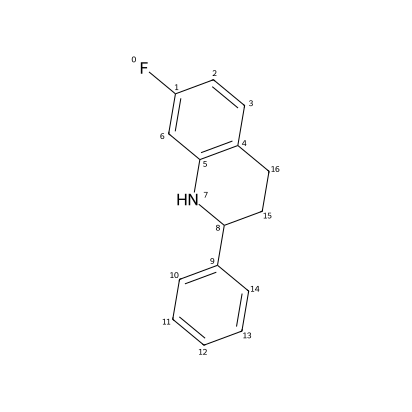 Fc1ccc2c(c1)NC(c1ccccc1)CC2